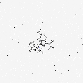 COc1ccc2c(C(=O)C(C)C)nn(/C=C(/OP(=O)(OC)OC)C(C)(C)C)c2c1